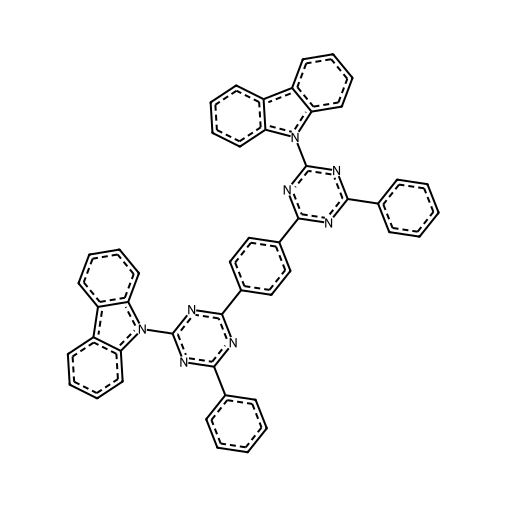 c1ccc(-c2nc(-c3ccc(-c4nc(-c5ccccc5)nc(-n5c6ccccc6c6ccccc65)n4)cc3)nc(-n3c4ccccc4c4ccccc43)n2)cc1